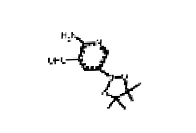 CC1(C)OB(c2cnc(N)c(C=O)c2)OC1(C)C